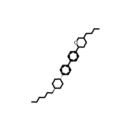 CCCCCC[C@H]1CC[C@H](c2ccc(-c3ccc(C4CCC(CCCC)CO4)cc3)cc2)CC1